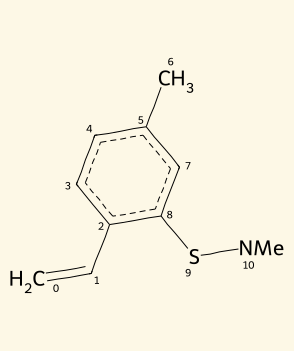 C=Cc1ccc(C)cc1SNC